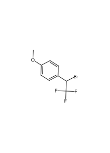 COc1ccc(C(Br)C(F)(F)F)cc1